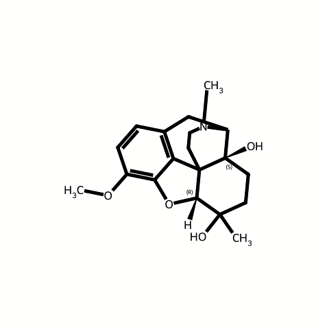 COc1ccc2c3c1O[C@H]1C(C)(O)CC[C@@]4(O)C(C2)N(C)CCC314